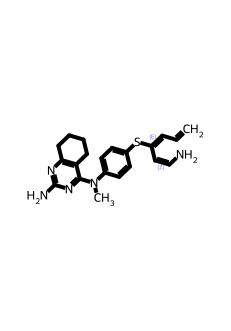 C=C/C=C(\C=C/N)Sc1ccc(N(C)c2nc(N)nc3c2CCCC3)cc1